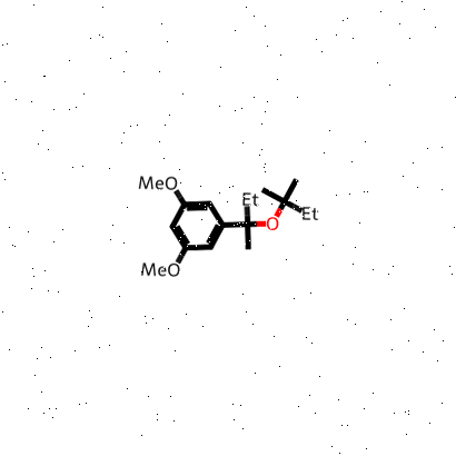 CCC(C)(C)OC(C)(CC)c1cc(OC)cc(OC)c1